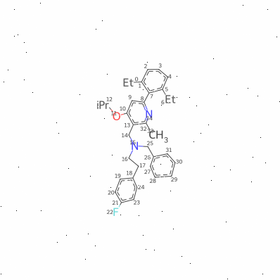 CCc1cccc(CC)c1-c1cc(OC(C)C)c(CN(CCc2ccc(F)cc2)Cc2ccccc2)c(C)n1